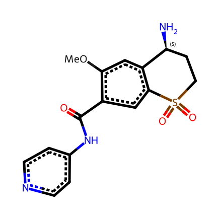 COc1cc2c(cc1C(=O)Nc1ccncc1)S(=O)(=O)CC[C@@H]2N